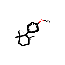 C[C@H]1CCCC(C)(C)[C@@]1(C=O)c1ccc(OC(F)(F)F)cc1